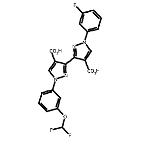 O=C(O)c1cn(-c2cccc(F)c2)nc1-c1nn(-c2cccc(OC(F)F)c2)cc1C(=O)O